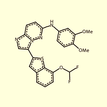 COc1ccc(Nc2ccc3ncc(-c4cc5cccc(OC(F)F)c5s4)n3n2)cc1OC